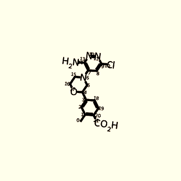 Cc1cc(C2CN(c3cc(Cl)nnc3N)CCO2)ccc1C(=O)O